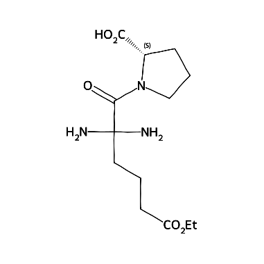 CCOC(=O)CCCC(N)(N)C(=O)N1CCC[C@H]1C(=O)O